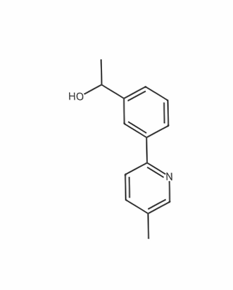 Cc1ccc(-c2cccc(C(C)O)c2)nc1